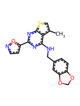 Cc1csc2nc(-c3ccno3)nc(NCc3ccc4c(c3)OCO4)c12